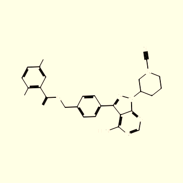 N#CN1CCCC(n2nc(-c3ccc(CNC(=O)c4cc(F)ccc4F)cc3)c3c(N)ncnc32)C1